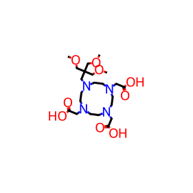 COCC(COC)(COC)CN1CCN(CC(=O)O)CCN(CC(=O)O)CCN(CC(=O)O)CC1